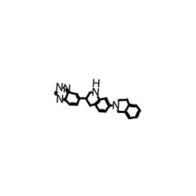 c1ccc2c(c1)CCN(c1ccc3c(c1)NCC(c1ccc4ncnnc4c1)C3)C2